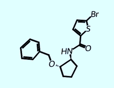 O=C(N[C@H]1CCC[C@@H]1OCc1ccccc1)c1ccc(Br)s1